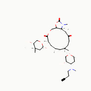 C#CCCN(C)[C@H]1C[C@@H](C)O[C@@H](O[C@@H]2[C@@H](C)[C@H](O[C@H]3C[C@@](C)(OC)[C@@H](O)[C@H](C)O3)[C@@H](C)C(=O)O[C@H](CC)[C@@]3(C)OC(=O)N(C)[C@@H]3[C@@H](C)C(=O)[C@H](C)C[C@@]2(C)OC)[C@@H]1O